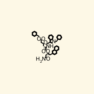 NC(=O)C[C@H](Cc1ccc2ccccc2c1)OC(=O)[C@H](CCCC(=O)OCc1ccccc1)NC(=O)c1cn(Cc2ccccc2)c2ccccc12